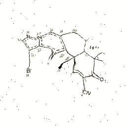 CC1(C)C(=O)C(C#N)=C[C@]2(C)c3nc4c(Br)cnn4cc3CC[C@@H]12